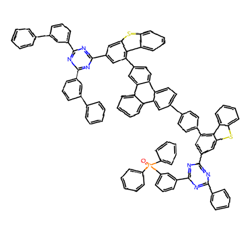 O=P(c1ccccc1)(c1ccccc1)c1cccc(-c2nc(-c3ccccc3)nc(-c3cc(-c4ccc(-c5ccc6c7ccc(-c8cc(-c9nc(-c%10cccc(-c%11ccccc%11)c%10)nc(-c%10cccc(-c%11ccccc%11)c%10)n9)cc9sc%10ccccc%10c89)cc7c7ccccc7c6c5)cc4)c4c(c3)sc3ccccc34)n2)c1